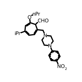 CCCOC1=CC(C(C)C)=CC=C(CN2CCN(c3ccc([N+](=O)[O-])cc3)CC2)C1C=O